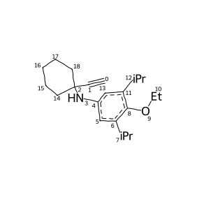 C#CC1(Nc2cc(C(C)C)c(OCC)c(C(C)C)c2)CCCCC1